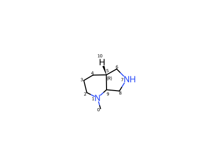 CN1CCC[C@@H]2CNCC21